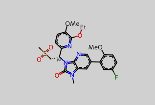 CCOc1nc([C@@H](CS(C)(=O)=O)n2c(=O)n(C)c3cc(-c4cc(F)ccc4OC)cnc32)ccc1OC